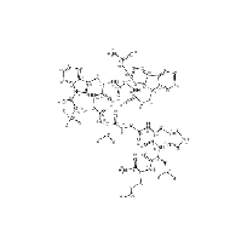 CSCC[C@H](NC(=O)[C@H](CC(C)C)NC(=O)[C@H](Cc1c[nH]cn1)NC(=O)CNC(=O)[C@@H](NC(=O)[C@H](C)NC(=O)[C@H](Cc1cn(C(=O)OC(C)(C)C)c2ccccc12)NC(=O)[C@H](CCC(N)=O)NC(=O)OCC1c2ccccc2-c2ccccc21)C(C)C)C(N)=O